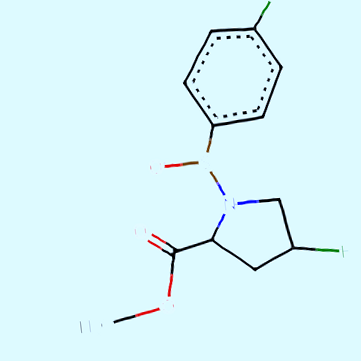 COC(=O)C1CC(F)CN1[S+]([O-])c1ccc(Br)cc1